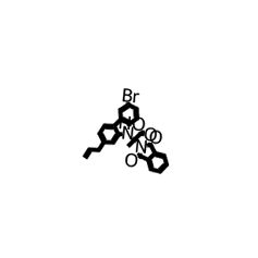 C=CCc1ccc2c3cc(Br)ccc3n(C(C)(C(=O)O)N3C(=O)c4ccccc4C3=O)c2c1